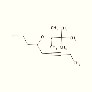 [Li][CH2]CC(CC#CCC)O[Si](C)(C)C(C)(C)C